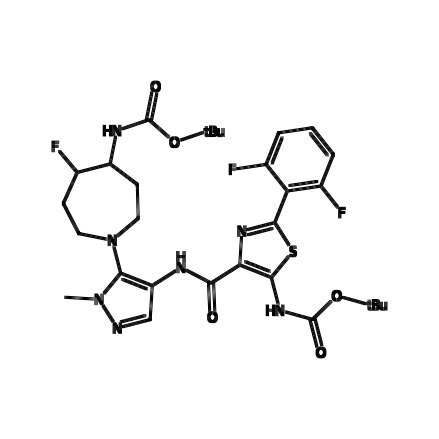 Cn1ncc(NC(=O)c2nc(-c3c(F)cccc3F)sc2NC(=O)OC(C)(C)C)c1N1CCC(F)C(NC(=O)OC(C)(C)C)CC1